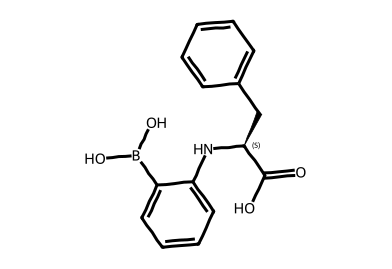 O=C(O)[C@H](Cc1ccccc1)Nc1ccccc1B(O)O